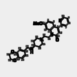 COc1ccc2c(-c3ccccn3)cc(=O)n(CCN3CCC(NCc4ccc5c(c4)OCCO5)CC3)c2c1